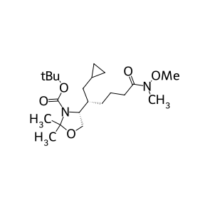 CON(C)C(=O)CCC[C@@H](CC1CC1)[C@@H]1COC(C)(C)N1C(=O)OC(C)(C)C